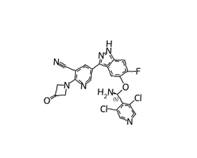 N#Cc1cc(-c2n[nH]c3cc(F)c(O[C@H](N)c4c(Cl)cncc4Cl)cc23)cnc1N1CC(=O)C1